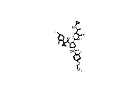 CCC(NC(=O)[C@@H]1C[C@@H](S(=O)(=O)c2ccc(OCC(F)(F)F)cc2Cl)CN1C(=O)C1(c2ncc(Cl)cc2F)CC1)C(=O)C(=O)NC1CC1